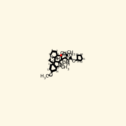 CC[C@]12C=CCN3CC[C@@]4(c5ccc(OC)cc5N(C)[C@H]4C(O)(CNC(=O)OC4CCCC4)[C@@H]1OC(C)=O)[C@@H]32